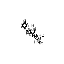 C/C=C\C(=N/N(C=O)CC(=O)NCC)c1cnc(Oc2ccc(Cl)cc2)nc1